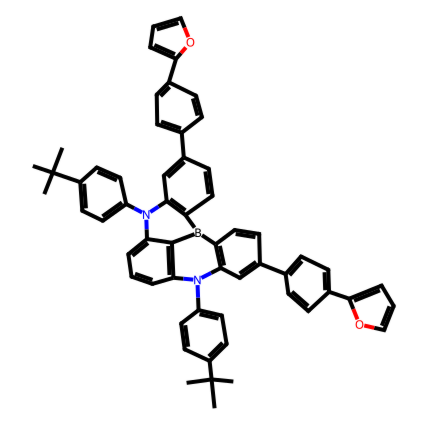 CC(C)(C)c1ccc(N2c3cc(-c4ccc(-c5ccco5)cc4)ccc3B3c4ccc(-c5ccc(-c6ccco6)cc5)cc4N(c4ccc(C(C)(C)C)cc4)c4cccc2c43)cc1